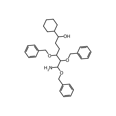 NC(OCc1ccccc1)C(OCc1ccccc1)C(CCC(O)C1CCCCC1)OCc1ccccc1